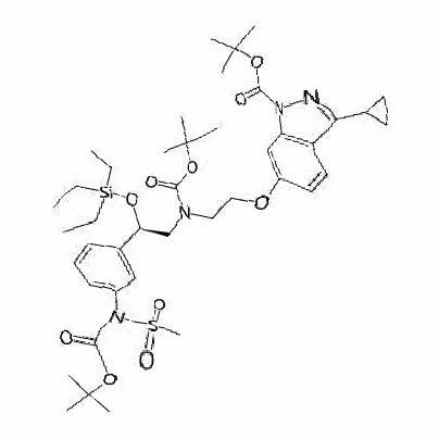 CC[Si](CC)(CC)O[C@@H](CN(CCOc1ccc2c(C3CC3)nn(C(=O)OC(C)(C)C)c2c1)C(=O)OC(C)(C)C)c1cccc(N(C(=O)OC(C)(C)C)S(C)(=O)=O)c1